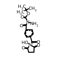 CC(C)(C)OC(=O)N(N)C(=O)c1ccc(C(=O)[N+]2(O)C(=O)CCC2=O)cc1